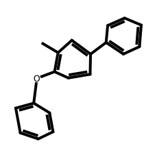 Cc1cc(-c2ccccc2)ccc1Oc1ccccc1